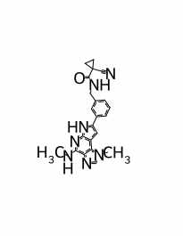 CNc1nc2[nH]c(-c3cccc(CNC(=O)C4(C#N)CC4)c3)cc2c2c1ncn2C